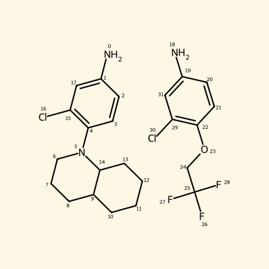 Nc1ccc(N2CCCC3CCCCC32)c(Cl)c1.Nc1ccc(OCC(F)(F)F)c(Cl)c1